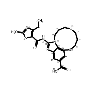 CCc1nc(C)sc1C(=O)Nc1nc2cc(C(=O)O)cc3c2n1CCCOCCCS3